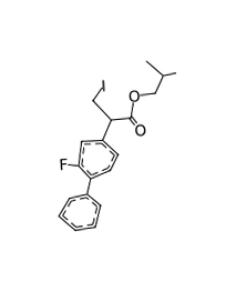 CC(C)COC(=O)C(CI)c1ccc(-c2ccccc2)c(F)c1